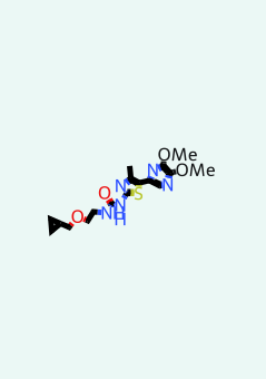 COc1ncc(-c2sc(NC(=O)NCCOCC3CC3)nc2C)nc1OC